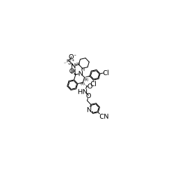 C[S@+]([O-])N[C@H]1CCCC[C@@H]1N1C(=O)c2ccccc2[C@@H](C(=O)NOCc2ccc(C#N)cn2)[C@@H]1c1ccc(Cl)cc1Cl